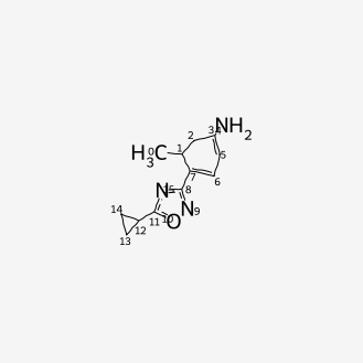 CC1CC(N)=CC=C1c1noc(C2CC2)n1